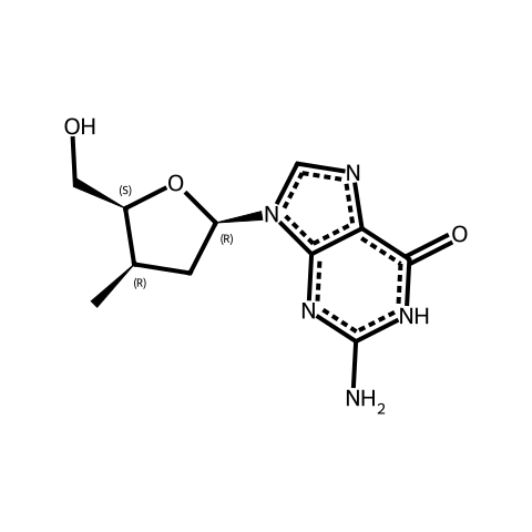 C[C@@H]1C[C@H](n2cnc3c(=O)[nH]c(N)nc32)O[C@@H]1CO